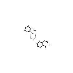 CCC(N)[C@]1(c2cc(F)cc(F)c2)CC[C@H](Oc2ccc3c(=O)[nH]ccc3c2Cl)CC1